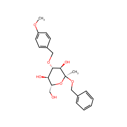 COc1ccc(CO[C@H]2[C@H](O)[C@@H](CO)O[C@](C)(OCc3ccccc3)[C@@H]2O)cc1